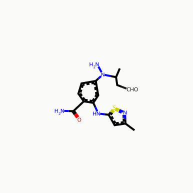 Cc1cc(Nc2cc(N(N)C(C)CC=O)ccc2C(N)=O)sn1